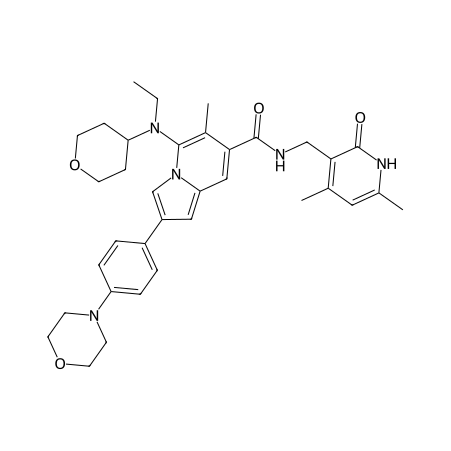 CCN(c1c(C)c(C(=O)NCc2c(C)cc(C)[nH]c2=O)cc2cc(-c3ccc(N4CCOCC4)cc3)cn12)C1CCOCC1